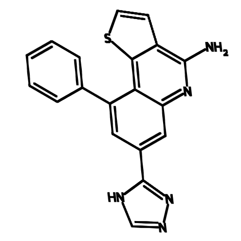 Nc1nc2cc(-c3nnc[nH]3)cc(-c3ccccc3)c2c2sccc12